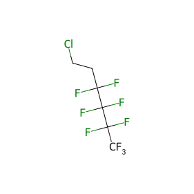 FC(F)(F)C(F)(F)C(F)(F)C(F)(F)CCCl